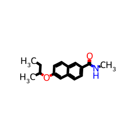 CCC(C)Oc1ccc2cc(C(=O)NC)ccc2c1